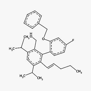 CCCC=Cc1c(C(C)C)cc(C(C)C)c(CO)c1-c1ccc(F)cc1OCc1ccccc1